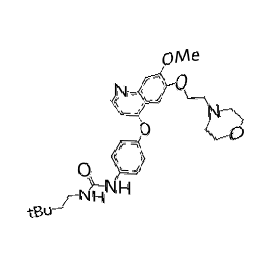 COc1cc2nccc(Oc3ccc(NC(=O)NCCC(C)(C)C)cc3)c2cc1OCCN1CCOCC1